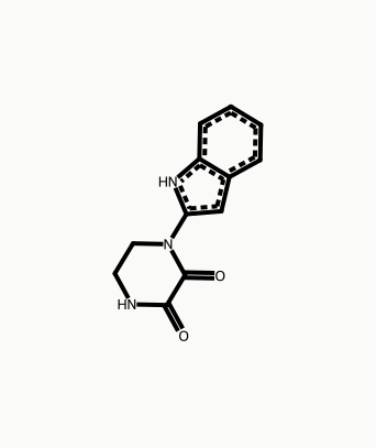 O=C1NCCN(c2cc3ccccc3[nH]2)C1=O